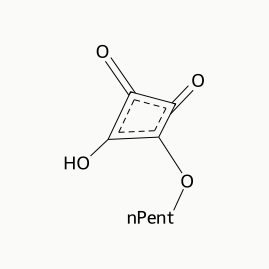 CCCCCOc1c(O)c(=O)c1=O